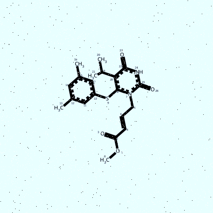 COC(=O)C=CCn1c(Sc2cc(C)cc(C)c2)c(C(C)C)c(=O)[nH]c1=O